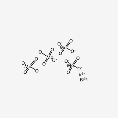 [Bi+3].[O]=[Mo](=[O])([O-])[O-].[O]=[Mo](=[O])([O-])[O-].[O]=[Mo](=[O])([O-])[O-].[O]=[Mo](=[O])([O-])[O-].[V+5]